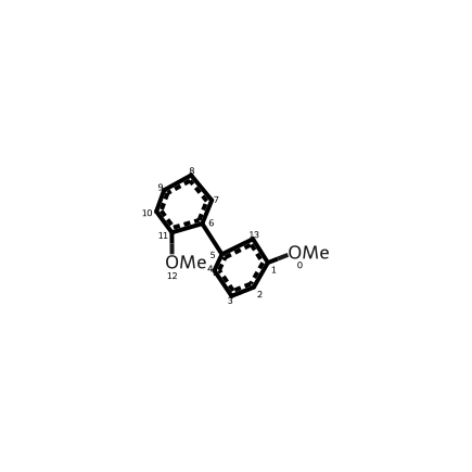 COc1cc[c]c(-c2ccccc2OC)c1